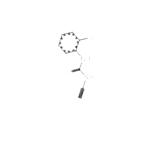 C#CNC(=O)Nc1ccccc1Cl